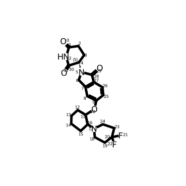 O=C1CC[C@H](N2Cc3cc(OC4CCCCC4N4CCC(F)(F)CC4)ccc3C2=O)C(=O)N1